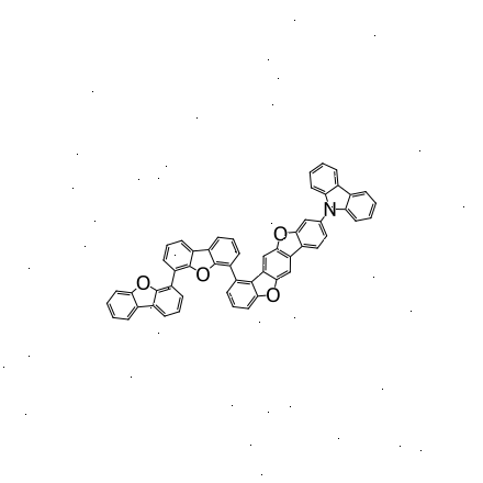 c1ccc2c(c1)oc1c(-c3cccc4c3oc3c(-c5cccc6oc7cc8c(cc7c56)oc5cc(-n6c7ccccc7c7ccccc76)ccc58)cccc34)cccc12